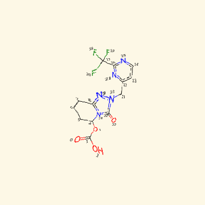 O=C(O)OC1CCCc2nn(Cc3ccnc(C(F)(F)F)n3)c(=O)n21